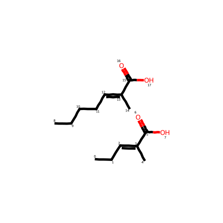 CC/C=C(\C)C(=O)O.CCCC/C=C(\C)C(=O)O